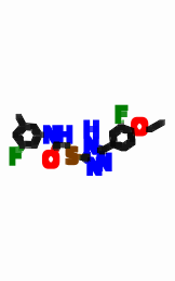 CCOc1ccc(-c2nnc(SCC(=O)Nc3cc(C)cc(F)c3)[nH]2)cc1F